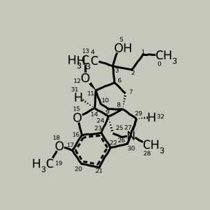 CCCC(C)(O)C1C[C@@]23CC[C@]1(OC)[C@@H]1Oc4c(OC)ccc5c4[C@@]12CCN(C)[C@@H]3C5